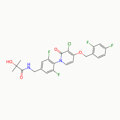 CC(C)(O)C(=O)NCc1cc(F)c(-n2ccc(OCc3ccc(F)cc3F)c(Cl)c2=O)c(F)c1